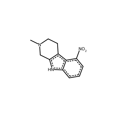 CN1CCc2c([nH]c3cccc([N+](=O)[O-])c23)C1